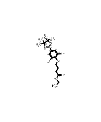 CCOC(=O)CCCSc1c(F)cc(B2OC(C)(C)C(C)(C)O2)cc1F